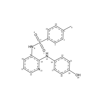 Cc1ccc(S(=O)(=O)Nc2cccnc2Nc2ccc(O)cc2)cc1